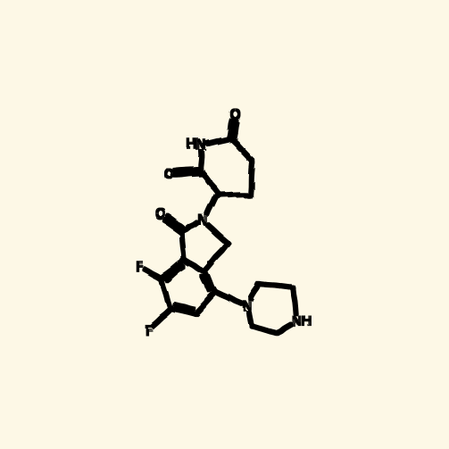 O=C1CCC(N2Cc3c(N4CCNCC4)cc(F)c(F)c3C2=O)C(=O)N1